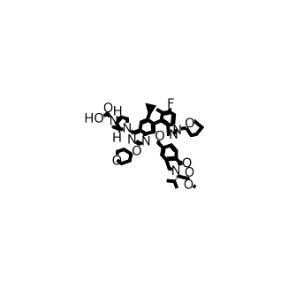 COC(=O)[C@H](C(C)C)N1Cc2cc(COc3c(-c4c(C)c(F)cc5c4cnn5C4CCCCO4)c(C4CC4)cc4c(N5C[C@@H]6C[C@H]5CN6C(=O)O)nc(OC5CCOCC5)nc34)ccc2C1=O